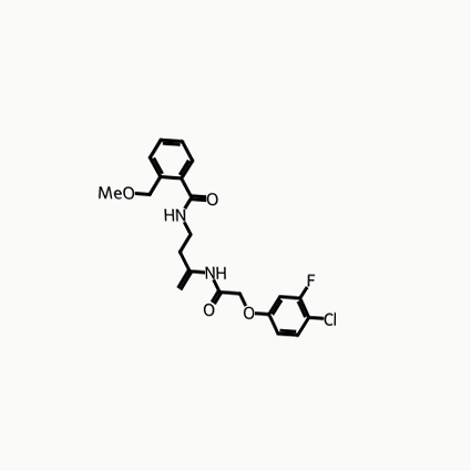 C=C(CCNC(=O)c1ccccc1COC)NC(=O)COc1ccc(Cl)c(F)c1